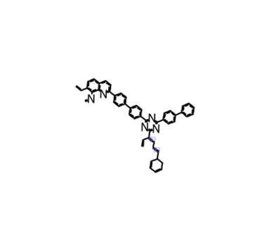 C=C/C(=C\C=C\C1C=CC=CC1)c1nc(-c2ccc(-c3ccccc3)cc2)nc(-c2ccc(-c3ccc(-c4ccc5ccc(C=C)c(N=C)c5n4)cc3)cc2)n1